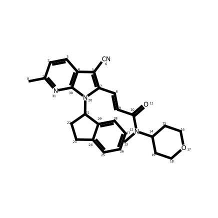 Cc1ccc2c(C#N)c(C=CC(=O)N(C)C3CCOCC3)n(C3CCc4ccccc43)c2n1